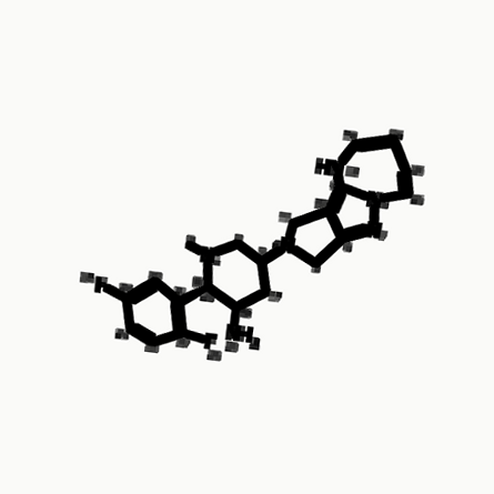 CN1CC(N2Cc3nn4c(c3C2)NC=CC=C4)CC(N)[C@H]1c1cc(F)ccc1F